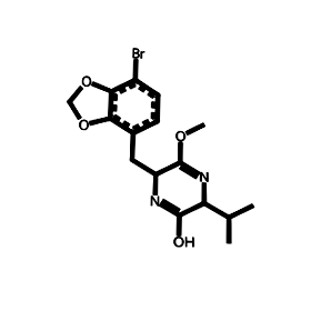 COC1=NC(C(C)C)C(O)=NC1Cc1ccc(Br)c2c1OCO2